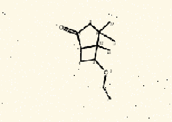 CCOC1CC2C(=O)CC(C)(C)C12C